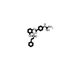 N=C(N)Nc1ccc(C(=O)Oc2cccc(Cl)c2OS(=O)(=O)C=Cc2ccccc2)cc1